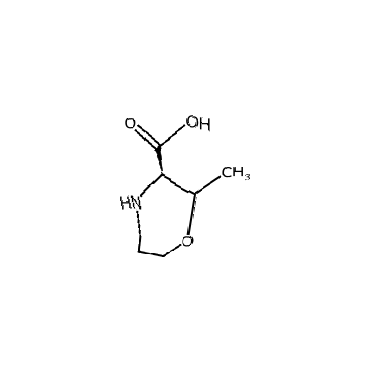 CC1OCCN[C@H]1C(=O)O